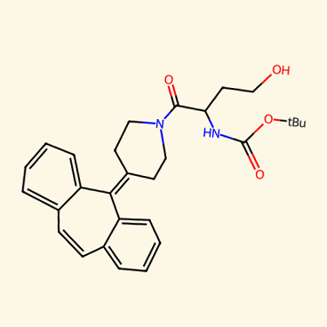 CC(C)(C)OC(=O)NC(CCO)C(=O)N1CCC(=C2c3ccccc3C=Cc3ccccc32)CC1